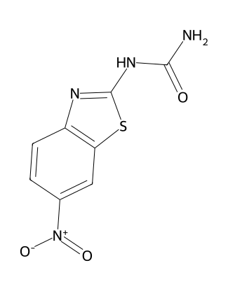 NC(=O)Nc1nc2ccc([N+](=O)[O-])cc2s1